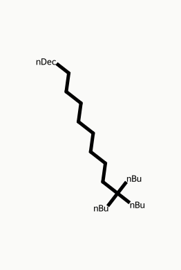 CCCCCCCCCCCCCCCCCCC(CCCC)(CCCC)CCCC